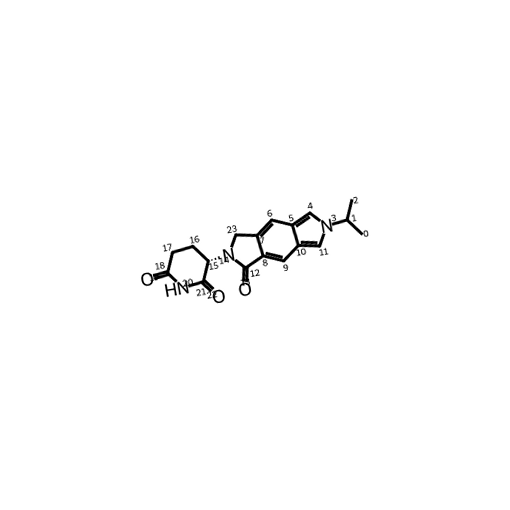 CC(C)n1cc2cc3c(cc2c1)C(=O)N([C@H]1CCC(=O)NC1=O)C3